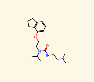 CC(C)N(CCOc1cccc2c1CCC2)C(=O)NCCN(C)C